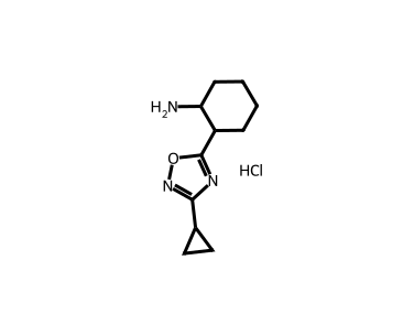 Cl.NC1CCCCC1c1nc(C2CC2)no1